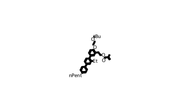 C=C(C)C(=O)OCCc1cc(-c2ccc(-c3ccc(CCCCC)cc3)cc2CC)ccc1OCCOC(C)(C)C